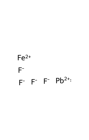 [F-].[F-].[F-].[F-].[Fe+2].[Pb+2]